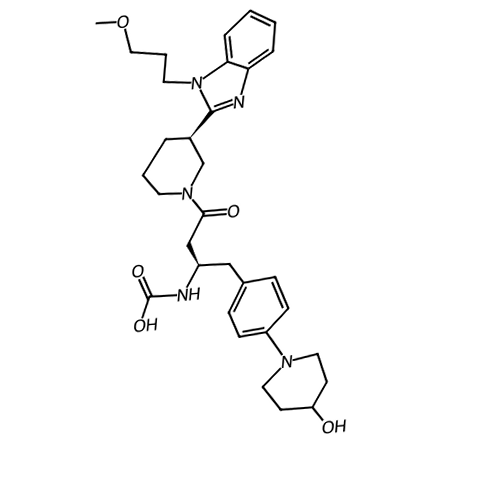 COCCCn1c([C@@H]2CCCN(C(=O)C[C@@H](Cc3ccc(N4CCC(O)CC4)cc3)NC(=O)O)C2)nc2ccccc21